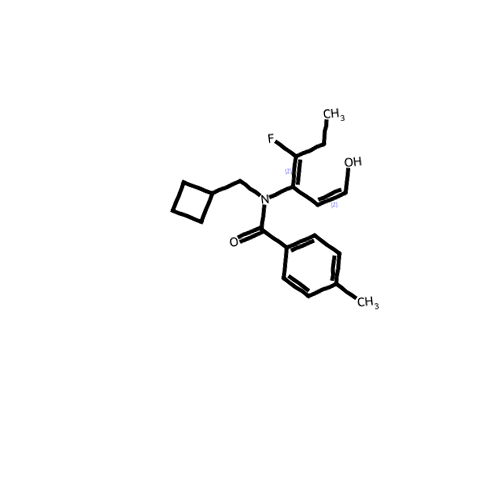 CC/C(F)=C(\C=C/O)N(CC1CCC1)C(=O)c1ccc(C)cc1